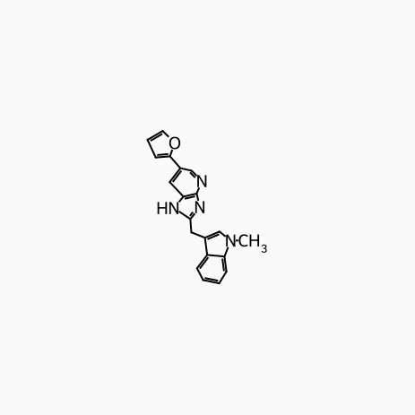 Cn1cc(Cc2nc3ncc(-c4ccco4)cc3[nH]2)c2ccccc21